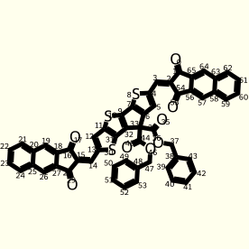 O=C1C(=Cc2cc3c(s2)-c2sc4cc(C=C5C(=O)c6cc7ccccc7cc6C5=O)sc4c2C3(C(=O)OCc2ccccc2)C(=O)OCc2ccccc2)C(=O)c2cc3ccccc3cc21